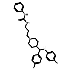 O=C(NCCCN1CCC(C(Nc2ccc(F)cc2)c2ccc(F)cc2)CC1)Nc1ccccc1